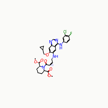 COC(=O)C1CCCC(C(=O)OC)N1C(=O)/C=C\CNc1cc2c(Nc3ccc(F)c(Cl)c3)ncnc2cc1OCC1CC1